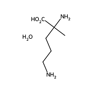 CC(N)(CCCN)C(=O)O.O